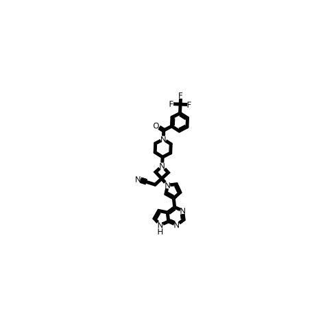 N#CCC1(n2ccc(-c3ncnc4[nH]ccc34)c2)CN(C2CCN(C(=O)c3cccc(C(F)(F)F)c3)CC2)C1